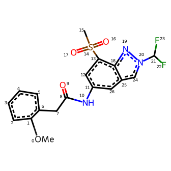 COc1ccccc1CC(=O)Nc1cc(S(C)(=O)=O)c2nn(C(F)F)cc2c1